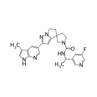 Cc1c[nH]c2ncc(-c3cc4n(n3)CCC43CCN(C(=O)NC(C)c4cncc(F)c4)C3)cc12